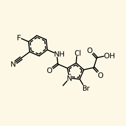 Cn1c(Br)c(C(=O)C(=O)O)c(Cl)c1C(=O)Nc1ccc(F)c(C#N)c1